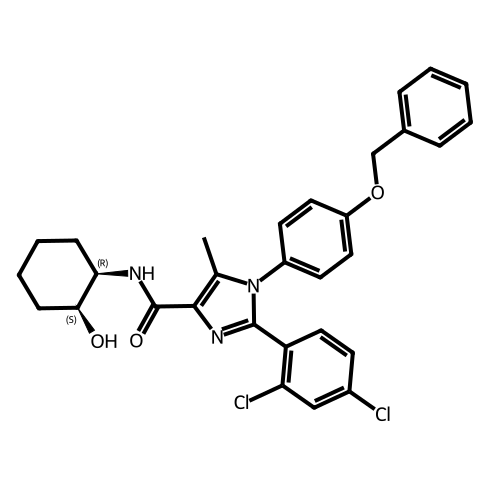 Cc1c(C(=O)N[C@@H]2CCCC[C@@H]2O)nc(-c2ccc(Cl)cc2Cl)n1-c1ccc(OCc2ccccc2)cc1